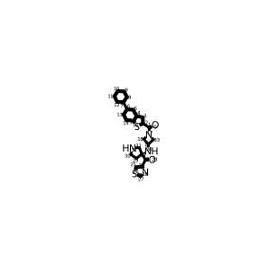 O=C(c1cc2cc(-c3ccccc3)ccc2s1)N1CC(N[C@@]2(C(=O)c3cscn3)CCNC2)C1